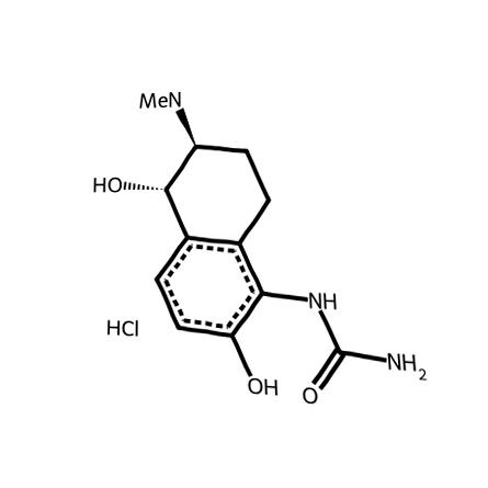 CN[C@H]1CCc2c(ccc(O)c2NC(N)=O)[C@@H]1O.Cl